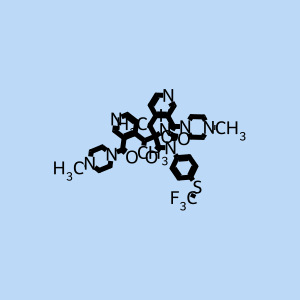 CC(c1ccncc1C(=O)N1CCN(C)CC1)C1(C(C)c2ccncc2C(=O)N2CCN(C)CC2)NC(=O)N(c2ccc(SC(F)(F)F)cc2)C1=O